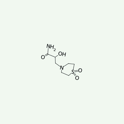 NC(=O)C(O)CN1CCS(=O)(=O)CC1